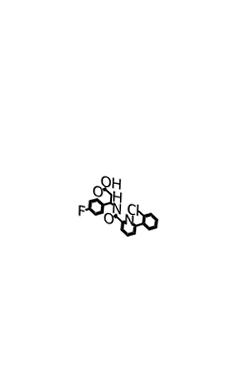 O=C(O)CC(NC(=O)c1cccc(-c2ccccc2Cl)n1)c1ccc(F)cc1